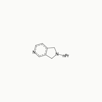 CCCN1Cc2ccncc2C1